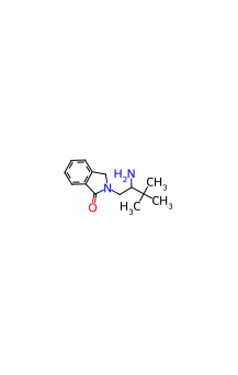 CC(C)(C)C(N)CN1Cc2ccccc2C1=O